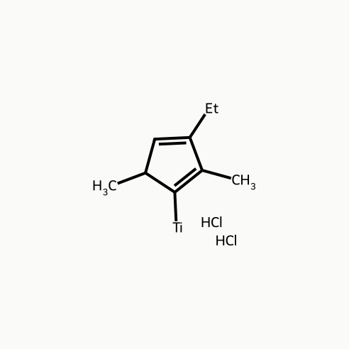 CCC1=CC(C)[C]([Ti])=C1C.Cl.Cl